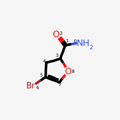 NC(=O)C1CC(Br)=CO1